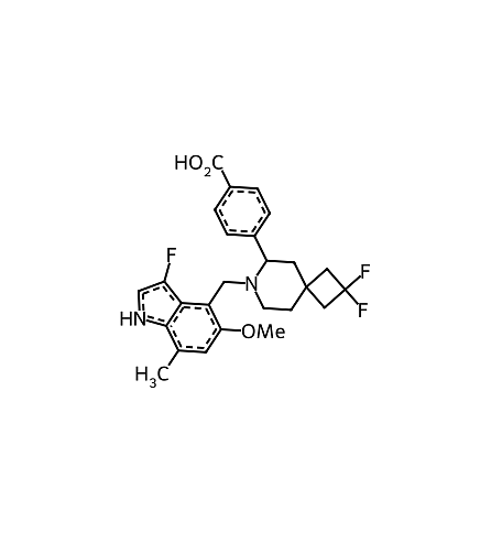 COc1cc(C)c2[nH]cc(F)c2c1CN1CCC2(CC1c1ccc(C(=O)O)cc1)CC(F)(F)C2